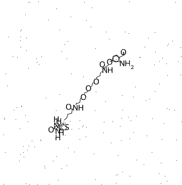 Nc1cc(OCC(=O)NCCCOCCOCCOCCCNC(=O)CCCC[C@@H]2SC[C@@H]3NC(=O)N[C@@H]32)ccc1C=O